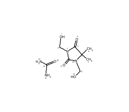 CC1(C)C(=O)N(CO)C(=O)N1CO.NC(N)=O